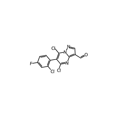 O=Cc1cnn2c(Cl)c(-c3ccc(F)cc3Cl)c(Cl)nc12